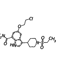 CCS(=O)(=O)N1CCC(c2c[nH]c3c(C(N)=O)cc(OCCCl)cc23)CC1